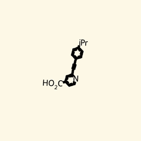 CC(C)c1ccc(C#Cc2cc(C(=O)O)ccn2)cc1